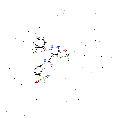 CS(=N)(=O)c1cccc(NC(=O)c2cc(OC(F)(F)F)nnc2Oc2ccc(F)cc2Cl)c1